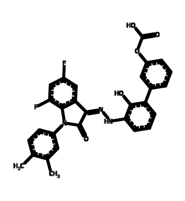 Cc1ccc(N2C(=O)C(=NNc3cccc(-c4cccc(OC(=O)O)c4)c3O)c3cc(F)cc(F)c32)cc1C